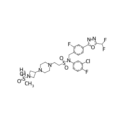 C[SH](C)(=O)N1CC(N2CCN(CCS(=O)(=O)N(Cc3ccc(-c4nnc(C(F)F)o4)cc3F)c3ccc(F)c(Cl)c3)CC2)C1